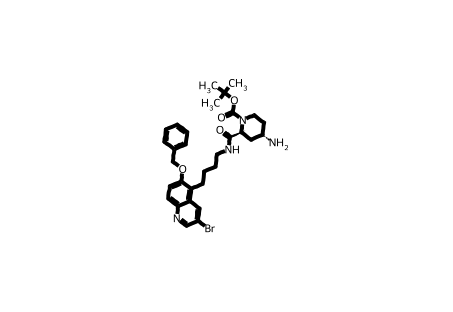 CC(C)(C)OC(=O)N1CC[C@H](N)C[C@H]1C(=O)NCCCCc1c(OCc2ccccc2)ccc2ncc(Br)cc12